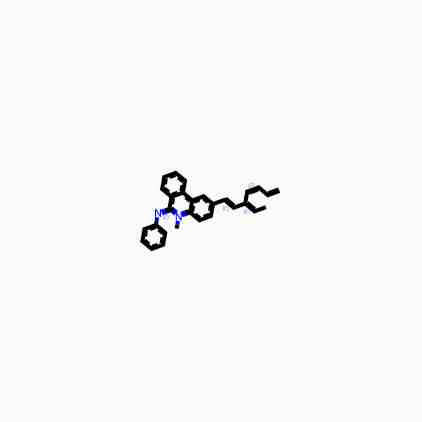 C=C\C=C/C(/C=C/c1ccc2c(c1)c1ccccc1/c(=N/c1ccccc1)n2C)=C\C